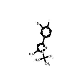 CC(C)(C)n1nc(-c2ccc(F)c(Br)c2)cc1N